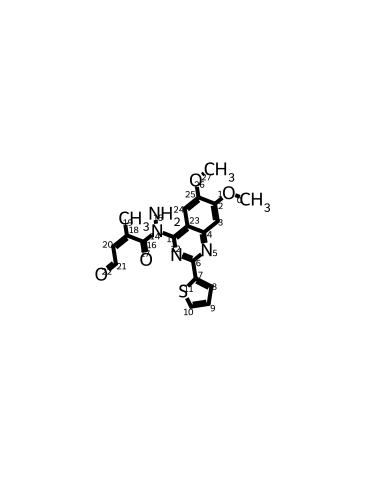 COc1cc2nc(-c3cccs3)nc(N(N)C(=O)/C(C)=C\C=O)c2cc1OC